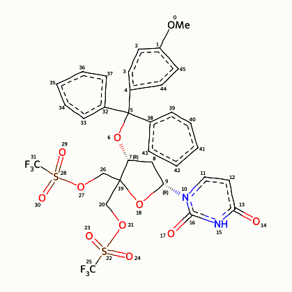 COc1ccc(C(O[C@@H]2C[C@H](n3ccc(=O)[nH]c3=O)OC2(COS(=O)(=O)C(F)(F)F)COS(=O)(=O)C(F)(F)F)(c2ccccc2)c2ccccc2)cc1